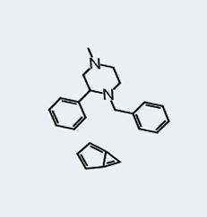 CN1CCN(Cc2ccccc2)C(c2ccccc2)C1.c1cc2cc-2c1